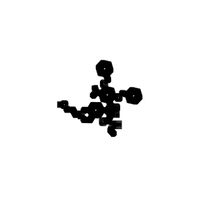 CCNC(=O)c1noc(-c2cc(C(C)C)c(OCc3ccccc3)cc2OCc2ccccc2)c1-c1ccc2c(c1)CCN(CCCOC)C2